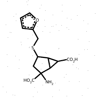 NC1(C(=O)O)CC(SCc2ccco2)C2C(C(=O)O)C21